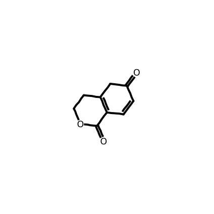 O=C1C=CC2=C(CCOC2=O)C1